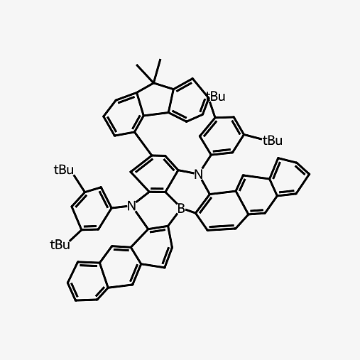 CC(C)(C)c1cc(N2c3cc(-c4cccc5c4-c4ccccc4C5(C)C)cc4c3B(c3ccc5cc6ccccc6cc5c32)c2ccc3cc5ccccc5cc3c2N4c2cc(C(C)(C)C)cc(C(C)(C)C)c2)cc(C(C)(C)C)c1